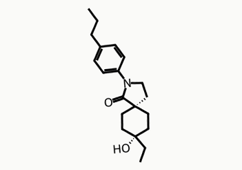 CCCc1ccc(N2CC[C@]3(CC[C@](O)(CC)CC3)C2=O)cc1